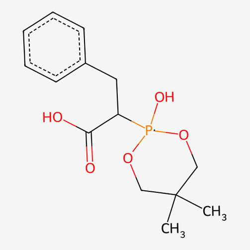 CC1(C)CO[P](O)(C(Cc2ccccc2)C(=O)O)OC1